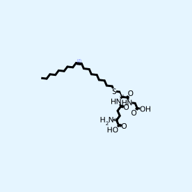 CCCCCCCC/C=C\CCCCCCCCSC[C@H](NC(=O)CC[C@H](N)C(=O)O)C(=O)NCC(=O)O